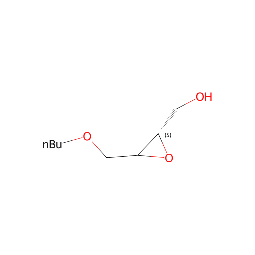 CCCCOCC1O[C@H]1CO